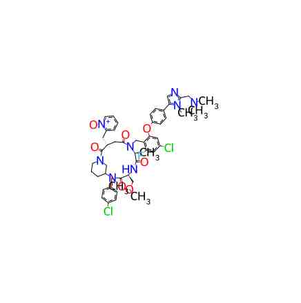 COC[C@@H]1NC(=O)[C@H](C)N(Cc2c(F)cc(Cl)cc2Oc2ccc(-c3cnc(CN(C)C)n3C)cc2)C(=O)C[C@@H](Cc2cccc[n+]2[O-])C(=O)N2CCC[C@@](Cc3ccc(Cl)cc3)(C2)N(C)C1=O